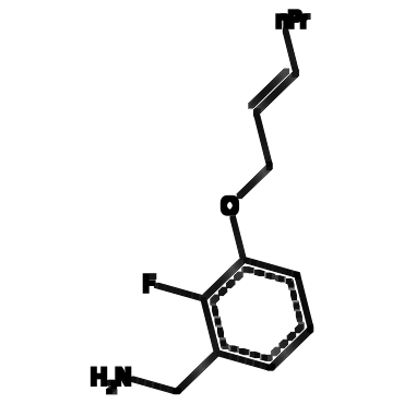 CCCC=CCOc1cccc(CN)c1F